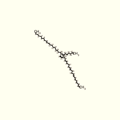 CCCCCCCCCCCCCCCCCCCn1cc[n+](CCCCCCCCCCCCCCCCCCC)c1CCCCCC